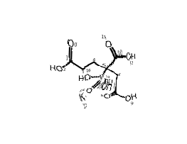 O=C(O)CCC(CC(=O)O)(C(=O)O)P(=O)(O)O.[K]